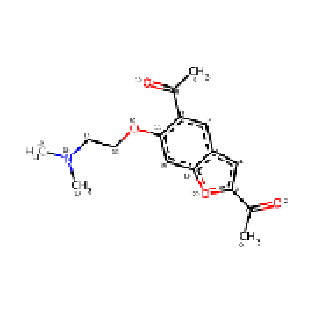 CC(=O)c1cc2cc(C(C)=O)c(OCCN(C)C)cc2o1